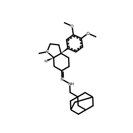 COc1ccc([C@@]23CCC(=NNCC45CC6CC(CC(C6)C4)C5)C[C@@H]2N(C)CC3)cc1OC